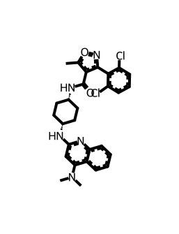 Cc1onc(-c2c(Cl)cccc2Cl)c1C(=O)N[C@H]1CC[C@@H](Nc2cc(N(C)C)c3ccccc3n2)CC1